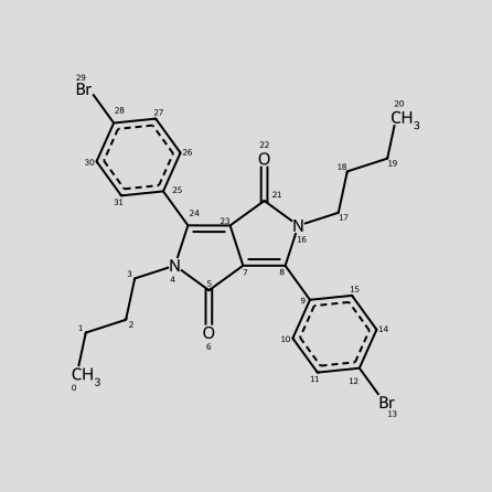 CCCCN1C(=O)C2=C(c3ccc(Br)cc3)N(CCCC)C(=O)C2=C1c1ccc(Br)cc1